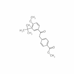 COC(=O)c1ccc(CC(=O)c2ccc(OC)c(C(C)(C)C)c2)cc1